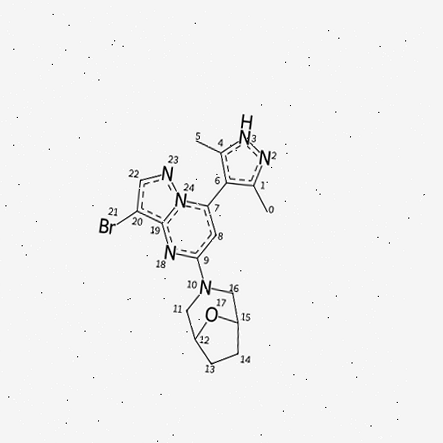 Cc1n[nH]c(C)c1-c1cc(N2CC3CCC(C2)O3)nc2c(Br)cnn12